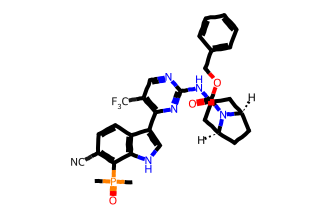 CP(C)(=O)c1c(C#N)ccc2c(-c3nc(NC4C[C@H]5CC[C@@H](C4)N5C(=O)OCc4ccccc4)ncc3C(F)(F)F)c[nH]c12